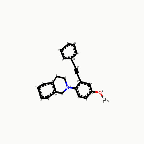 FC(F)(F)Oc1ccc(N2CCc3ccccc3C2)c(C#Cc2ccccc2)c1